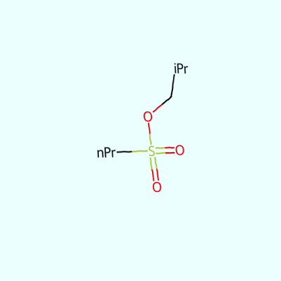 CCCS(=O)(=O)OCC(C)C